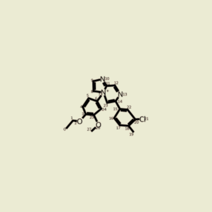 CCOc1ccc([N+]23C=CN=C2C=NC(c2ccc(C)c(Cl)c2)=C3)cc1OC